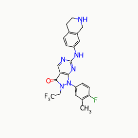 Cc1cc(-n2c3nc(Nc4ccc5c(c4)CNCC5)ncc3c(=O)n2CC(F)(F)F)ccc1F